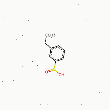 O=C(O)Cc1cccc(S(=O)O)c1